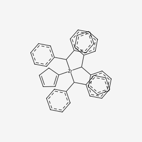 C1=CC[C]([Zr]([CH](c2ccccc2)c2ccccc2)([CH](c2ccccc2)c2ccccc2)[CH](c2ccccc2)c2ccccc2)=C1